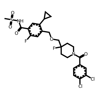 CS(=O)(=O)NC(=O)c1cc(C2CC2)c(COCC2(F)CCN(C(=O)c3ccc(Cl)c(Cl)c3)CC2)cc1F